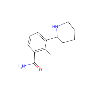 Cc1c(C(N)=O)cccc1C1CCCCN1